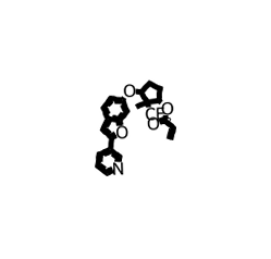 C=CC(=O)OC1CCC(Oc2ccc3cc(-c4cccnc4)oc3c2)C1(C)C(F)(F)F